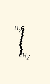 [CH2]CCCCC#CCCCCCCCCCCCC[CH2]